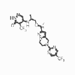 CC(CO[C@H](C)c1cc2n(n1)CCN(c1ncc(C(F)(F)F)cn1)C2)Nc1cn[nH]c(=O)c1C(F)(F)F